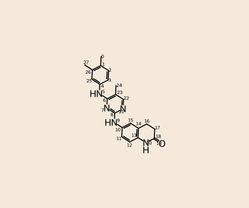 Cc1ccc(Nc2nc(Nc3ccc4c(c3)CCC(=O)N4)ncc2C)cc1C